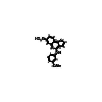 COc1cccc(Nc2nc3cc(C(=O)O)ccc3c3sccc23)c1